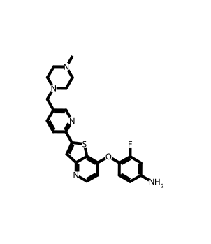 CN1CCN(Cc2ccc(-c3cc4nccc(Oc5ccc(N)cc5F)c4s3)nc2)CC1